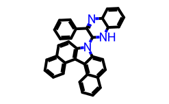 C1=CC2N=C(c3ccccc3)C(n3c4ccc5ccccc5c4c4c5ccccc5ccc43)NC2C=C1